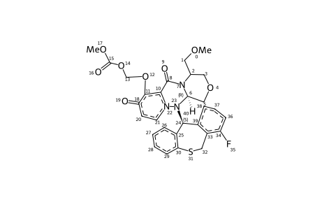 COCC1COC[C@@H]2N1C(=O)c1c(OCOC(=O)OC)c(=O)ccn1N2[C@@H]1c2ccccc2SCc2c(F)cccc21